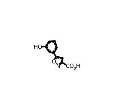 O=C(O)c1cc(-c2cccc(O)c2)on1